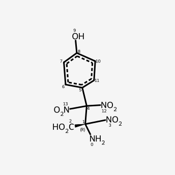 N[C@@](C(=O)O)([N+](=O)[O-])C(c1ccc(O)cc1)([N+](=O)[O-])[N+](=O)[O-]